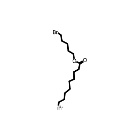 CC(C)CCCCCCCCC(=O)OCCCCCBr